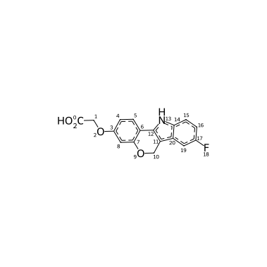 O=C(O)COc1ccc2c(c1)OCc1c-2[nH]c2ccc(F)cc12